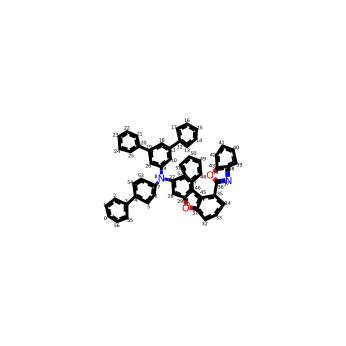 c1ccc(-c2ccc(N(c3cc(-c4ccccc4)cc(-c4ccccc4)c3)c3cc4oc5cccc(-c6nc7ccccc7o6)c5c4c4ccccc34)cc2)cc1